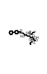 C=CCOC(O)(CC(O)C(C[C@@H](O)[C@H](O)CNC(=O)c1ccc(-c2ccccc2)cc1)NC(=O)CF)C(=O)OC